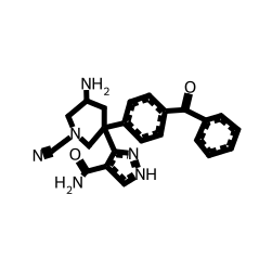 N#CN1CC(N)CC(c2ccc(C(=O)c3ccccc3)cc2)(c2n[nH]cc2C(N)=O)C1